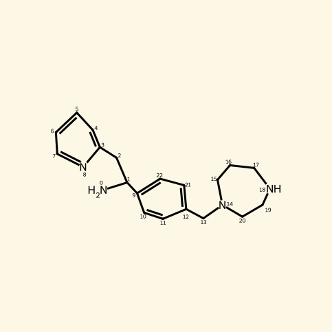 NC(Cc1ccccn1)c1ccc(CN2CCCNCC2)cc1